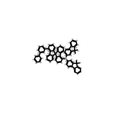 CC1(C)c2ccccc2-c2ccc(N(c3ccc4c(c3)C(C)(C)c3ccccc3-4)c3cccc4c3-c3ccccc3C43c4ccccc4-c4c(-c5cccc(-c6ccccc6)c5)cccc43)cc21